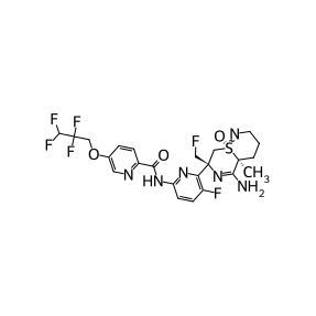 C[C@@]12CCCN=S1(=O)C[C@@](CF)(c1nc(NC(=O)c3ccc(OCC(F)(F)C(F)F)cn3)ccc1F)N=C2N